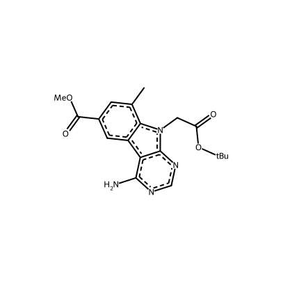 COC(=O)c1cc(C)c2c(c1)c1c(N)ncnc1n2CC(=O)OC(C)(C)C